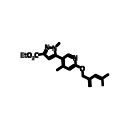 C=C(C=C(C)C)COc1cc(C)c(-c2cc(C(=O)OCC)nn2C)cn1